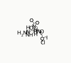 N=C(N)NCCC[C@@H]1N[C@H](CNC(=O)/C=C/c2ccc(Cl)cc2CI)CCN(CC(c2ccccc2)c2ccccc2)C1=O